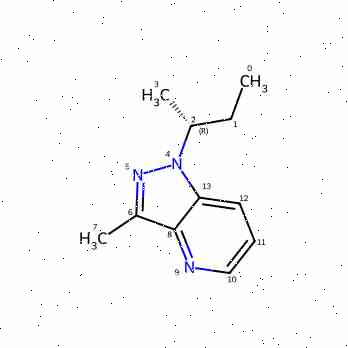 CC[C@@H](C)n1nc(C)c2ncccc21